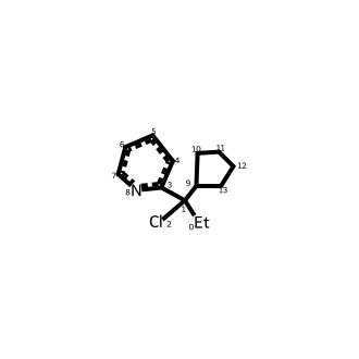 CCC(Cl)(c1ccccn1)C1CCCC1